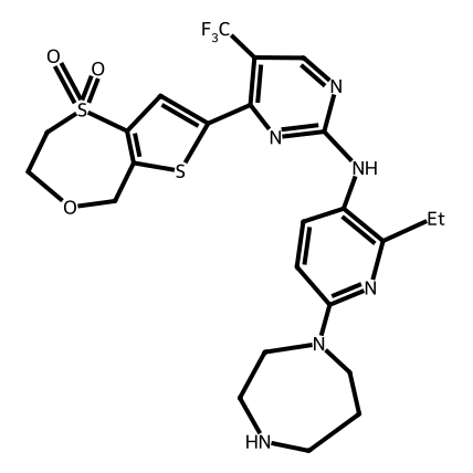 CCc1nc(N2CCCNCC2)ccc1Nc1ncc(C(F)(F)F)c(-c2cc3c(s2)COCCS3(=O)=O)n1